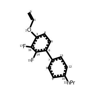 C=COc1ccc(-c2ccc(CCC)cc2)c(F)c1F